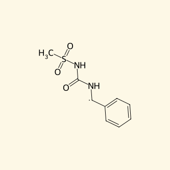 CS(=O)(=O)NC(=O)N[CH]c1ccccc1